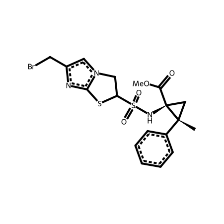 COC(=O)[C@]1(NS(=O)(=O)C2Cn3cc(CBr)nc3S2)C[C@]1(C)c1ccccc1